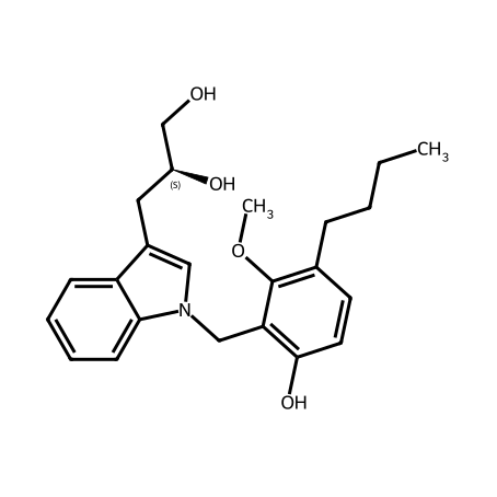 CCCCc1ccc(O)c(Cn2cc(C[C@H](O)CO)c3ccccc32)c1OC